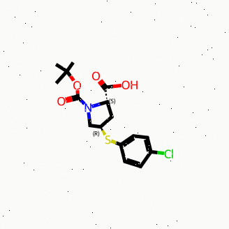 CC(C)(C)OC(=O)N1C[C@H](Sc2ccc(Cl)cc2)C[C@H]1C(=O)O